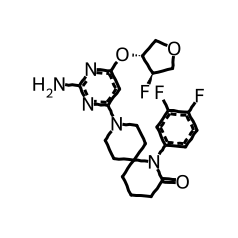 Nc1nc(O[C@@H]2COC[C@H]2F)cc(N2CCC3(CCCC(=O)N3c3ccc(F)c(F)c3)CC2)n1